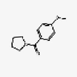 [CH2]Oc1ccc(C(=O)N2CCCC2)cc1